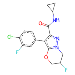 O=C(NC1CC1)c1nn2c(c1-c1ccc(Cl)c(F)c1)OCC(F)C2